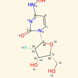 O=c1nc(NO)ccn1[C@@H]1O[C@H](CO)[C@H](O)[C@@H]1F